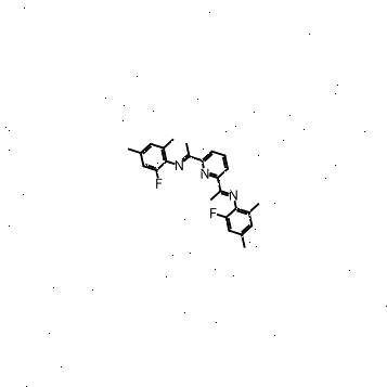 CC(=Nc1c(C)cc(C)cc1F)c1cccc(C(C)=Nc2c(C)cc(C)cc2F)n1